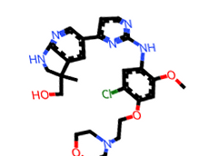 COc1cc(OCCN2CCOCC2)c(Cl)cc1Nc1nccc(-c2cnc3c(c2)C(C)(CO)CN3)n1